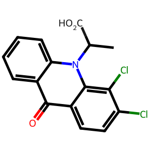 CC(C(=O)O)n1c2ccccc2c(=O)c2ccc(Cl)c(Cl)c21